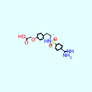 C[C@@H](Cc1ccc(OCC(=O)O)cc1)NS(=O)(=O)c1ccc(C(=N)N)cc1